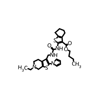 CCCCOC(=O)c1c(NC(=O)NCc2c(-n3cccc3)sc3c2CCN(CC)C3)sc2c1CCCC2